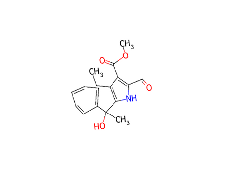 CCc1c(C(C)(O)c2ccccc2)[nH]c(C=O)c1C(=O)OC